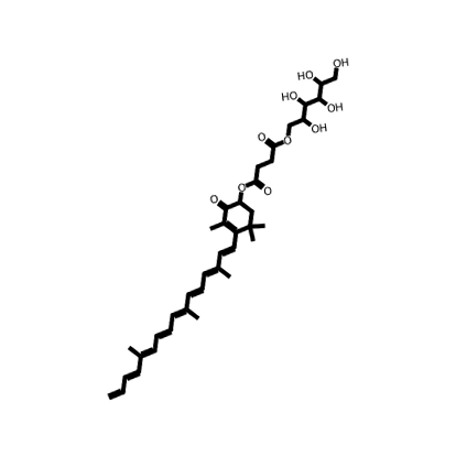 C=C/C=C/C(C)=C/C=C/C=C(C)/C=C/C=C(C)/C=C/C1=C(C)C(=O)C(OC(=O)CCC(=O)OCC(O)C(O)C(O)C(O)CO)CC1(C)C